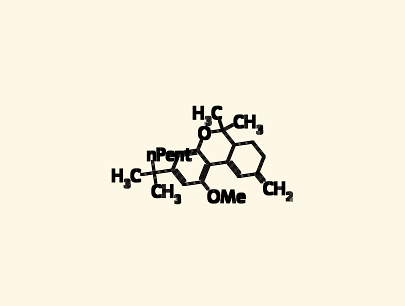 C=C1C=C2c3c(OC)cc(C(C)(C)CCCCC)cc3OC(C)(C)C2CC1